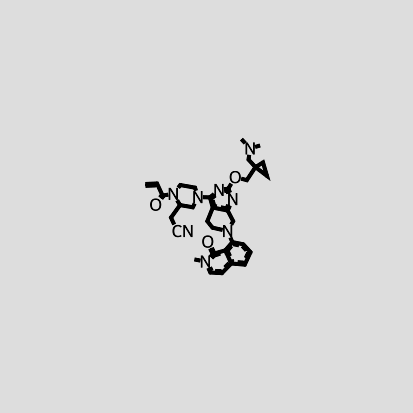 C=CC(=O)N1CCN(c2nc(OCC3(CN(C)C)CC3)nc3c2CCN(c2cccc4ccn(C)c(=O)c24)C3)CC1CC#N